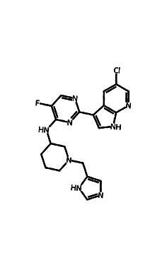 Fc1cnc(-c2c[nH]c3ncc(Cl)cc23)nc1NC1CCCN(Cc2cnc[nH]2)C1